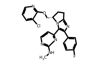 CNc1nccc(-c2c(-c3ccc(F)cc3)nc3n2[C@H](COc2ncccc2Cl)CC3)n1